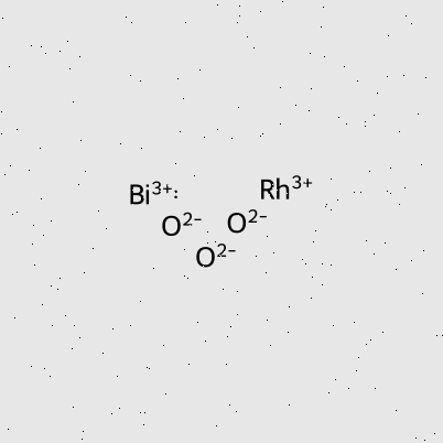 [Bi+3].[O-2].[O-2].[O-2].[Rh+3]